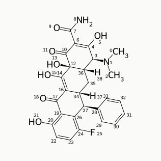 CN(C)[C@@H]1C(O)=C(C(N)=O)C(=O)[C@@]2(O)C(O)=C3C(=O)c4c(O)ccc(F)c4[C@H](c4ccccc4)[C@H]3C[C@@H]12